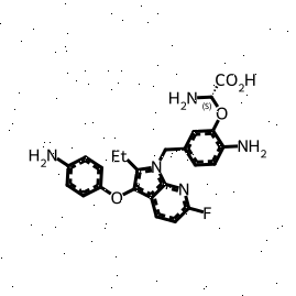 CCc1c(Oc2ccc(N)cc2)c2ccc(F)nc2n1Cc1ccc(N)c(O[C@H](N)C(=O)O)c1